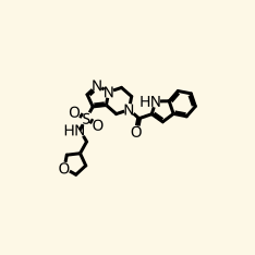 O=C(c1cc2ccccc2[nH]1)N1CCn2ncc(S(=O)(=O)NCC3CCOC3)c2C1